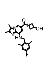 Cc1cc(F)cc(C)c1CNc1cc(C(=O)N2CC(O)C2)cn2c(C)c(C)nc12